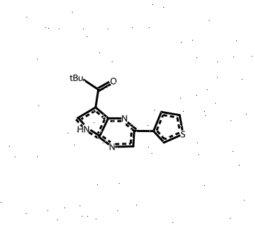 CC(C)(C)C(=O)c1c[nH]c2ncc(-c3ccsc3)nc12